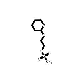 CS(=O)(=O)OCCOC1CCCCO1